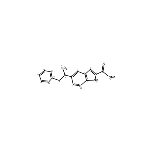 COC(=O)c1cc2cc(N(Cc3ccccc3)[N+](=O)[O-])cnc2[nH]1